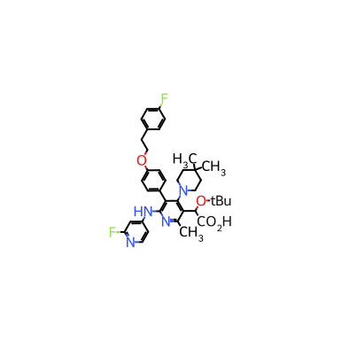 Cc1nc(Nc2ccnc(F)c2)c(-c2ccc(OCCc3ccc(F)cc3)cc2)c(N2CCC(C)(C)CC2)c1C(OC(C)(C)C)C(=O)O